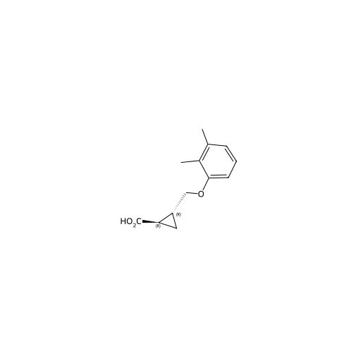 Cc1cccc(OC[C@@H]2C[C@H]2C(=O)O)c1C